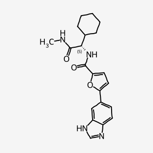 CNC(=O)[C@@H](NC(=O)c1ccc(-c2ccc3nc[nH]c3c2)o1)C1CCCCC1